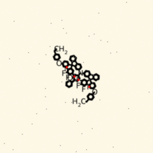 C=Cc1ccc(Oc2ccc(C3(c4cc(F)c(F)c(F)c4F)c4ccccc4-c4ccc(N(c5ccc6c(c5)C(c5ccc(Oc7ccc(C=C)cc7)cc5)(c5cc(F)c(F)c(F)c5F)c5ccccc5-6)c5ccc6c(c5)oc5ccccc56)cc43)cc2)cc1